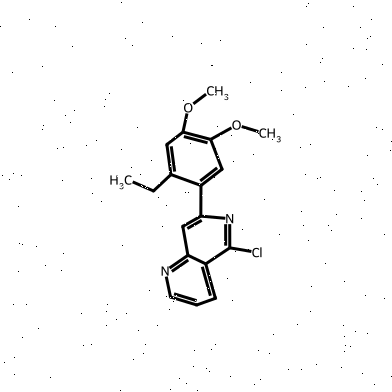 CCc1cc(OC)c(OC)cc1-c1cc2ncccc2c(Cl)n1